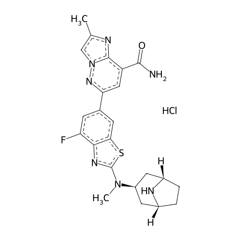 Cc1cn2nc(-c3cc(F)c4nc(N(C)[C@@H]5C[C@H]6CC[C@@H](C5)N6)sc4c3)cc(C(N)=O)c2n1.Cl